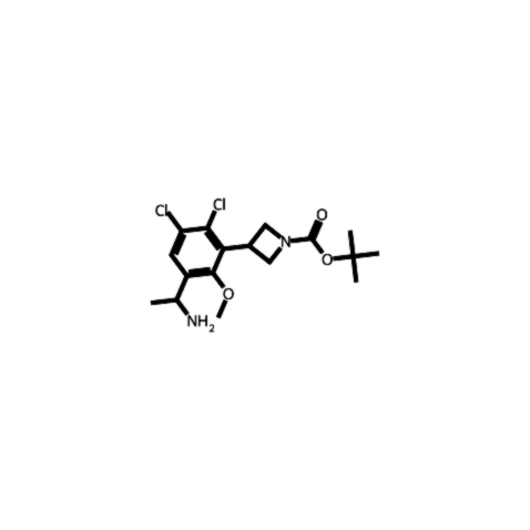 COc1c(C(C)N)cc(Cl)c(Cl)c1C1CN(C(=O)OC(C)(C)C)C1